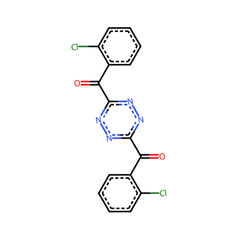 O=C(c1nnc(C(=O)c2ccccc2Cl)nn1)c1ccccc1Cl